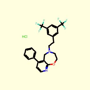 Cl.FC(F)(F)c1cc(CCN2CCOc3nccc(-c4ccccc4)c3C2)cc(C(F)(F)F)c1